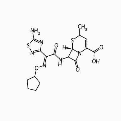 CC1C=C(C(=O)O)N2C(=O)C(NC(=O)C(=NOC3CCCC3)c3nsc(N)n3)[C@@H]2S1